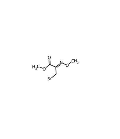 CON=C(CBr)C(=O)OC